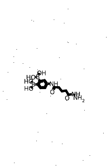 NNC(=O)CCCC(=O)Nc1ccc(B(O)O)c(B(O)O)c1